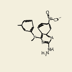 Cc1cccc(N(C)c2nc(NN)nc3cc([N+](=O)[O-])ccc23)c1